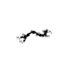 CCCSc1nc(NCCN)c2nnn(Cc3ccc(CCCNC(=O)C4CCN(CCNC(=O)CCc5ccc(-c6cn([C@H]7C[C@H](n8cc(C)c(=O)[nH]c8=O)O[C@@H]7CO)nn6)cc5)CC4)cc3)c2n1